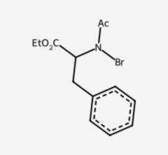 CCOC(=O)C(Cc1ccccc1)N(Br)C(C)=O